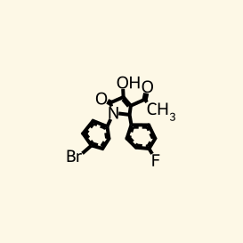 CC(=O)C1=C(O)C(=O)N(c2ccc(Br)cc2)C1c1ccc(F)cc1